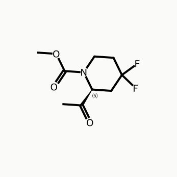 COC(=O)N1CCC(F)(F)C[C@H]1C(C)=O